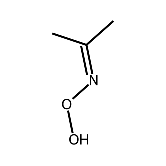 CC(C)=NOO